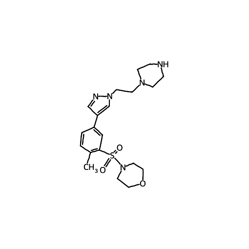 Cc1ccc(-c2cnn(CCN3CCNCC3)c2)cc1S(=O)(=O)N1CCOCC1